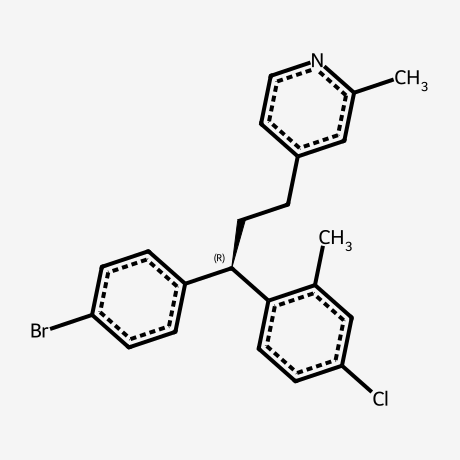 Cc1cc(CC[C@H](c2ccc(Br)cc2)c2ccc(Cl)cc2C)ccn1